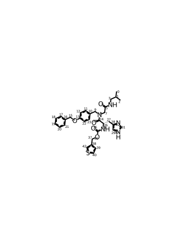 CC(C)CNC(=O)CN(Cc1ccc(OCc2ccccc2)cc1)C(=O)[C@H](Cc1c[nH]cn1)NC(=O)OCc1ccsc1